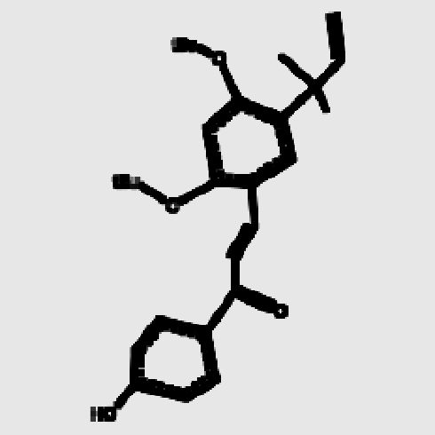 C=CC(C)(C)c1cc(/C=C/C(=O)c2ccc(O)cc2)c(OC(C)(C)C)cc1OC(C)(C)C